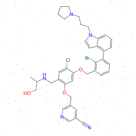 CC(CO)NCc1cc(Cl)c(OCc2cccc(-c3cccc4c3ccn4CCCN3CCCC3)c2Br)cc1OCc1cncc(C#N)c1